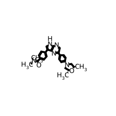 C[C@@H]1CN(c2ccc(-c3cnc4[nH]cc(-c5ccc(C(=O)N(C)C)cc5)c4n3)cc2)C[C@@H](C)O1